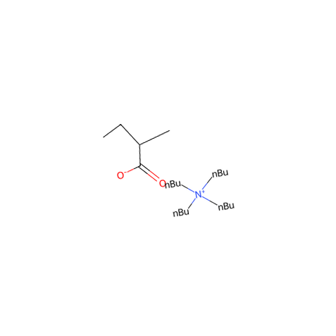 CCC(C)C(=O)[O-].CCCC[N+](CCCC)(CCCC)CCCC